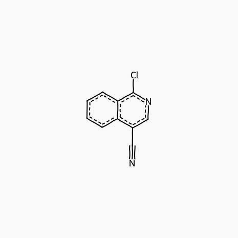 N#Cc1cnc(Cl)c2ccccc12